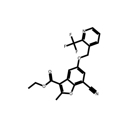 CCOC(=O)c1c(C)oc2c(C#N)cc(OCc3cccnc3C(F)(F)F)cc12